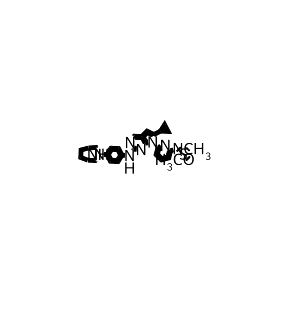 CS(C)(=O)=Nc1cccc(-n2c(C3CC3)cc3cnc(Nc4ccc(N5CC6CCC(C5)N6)cc4)nc32)n1